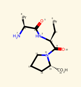 CC(C)C[C@H](NC(=O)[C@@H](N)C(C)C)C(=O)N1CCC[C@H]1C(=O)O